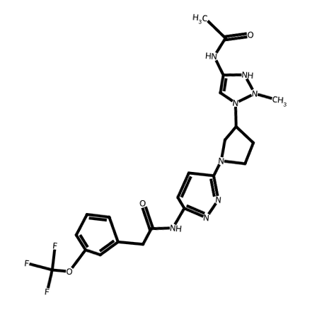 CC(=O)NC1=CN(C2CCN(c3ccc(NC(=O)Cc4cccc(OC(F)(F)F)c4)nn3)C2)N(C)N1